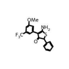 COc1cc(C2=C(N)SC(c3ccccc3)C2=O)cc(C(F)(F)F)c1